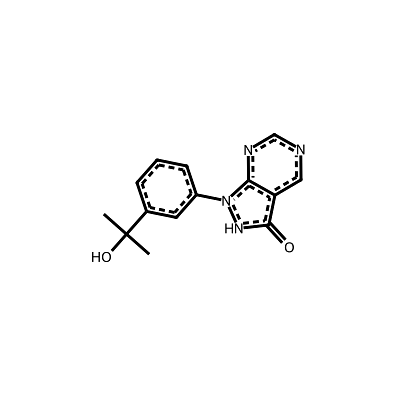 CC(C)(O)c1cccc(-n2[nH]c(=O)c3cncnc32)c1